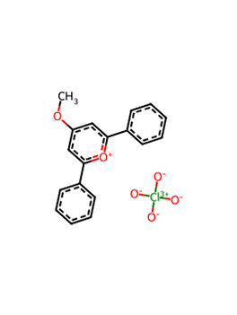 COc1cc(-c2ccccc2)[o+]c(-c2ccccc2)c1.[O-][Cl+3]([O-])([O-])[O-]